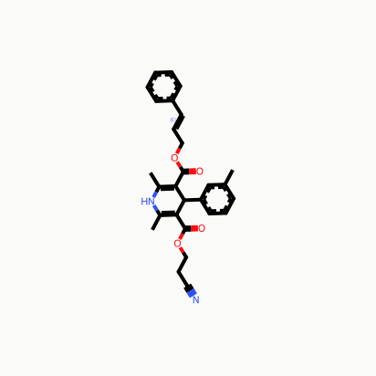 CC1=C(C(=O)OC/C=C/c2ccccc2)C(c2cccc(C)c2)C(C(=O)OCCC#N)=C(C)N1